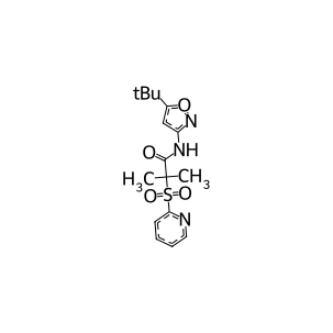 CC(C)(C)c1cc(NC(=O)C(C)(C)S(=O)(=O)c2ccccn2)no1